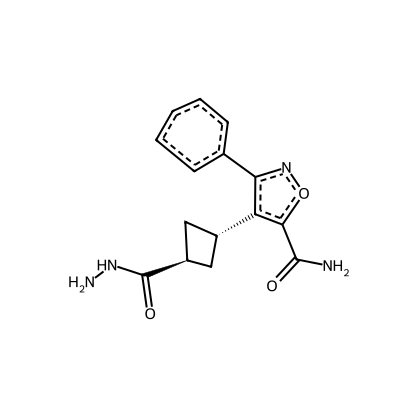 NNC(=O)[C@H]1C[C@H](c2c(-c3ccccc3)noc2C(N)=O)C1